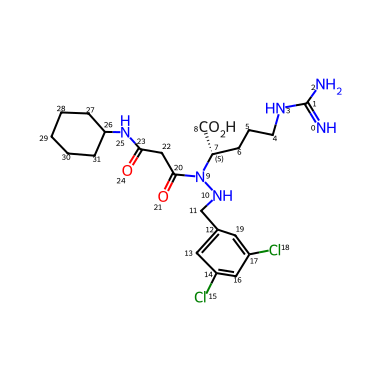 N=C(N)NCCC[C@@H](C(=O)O)N(NCc1cc(Cl)cc(Cl)c1)C(=O)CC(=O)NC1CCCCC1